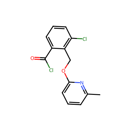 Cc1cccc(OCc2c(Cl)cccc2C(=O)Cl)n1